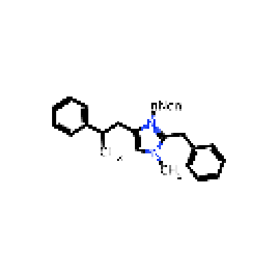 CCCCCCCCC[n+]1c(CC(C)c2ccccc2)cn(C)c1Cc1ccccc1